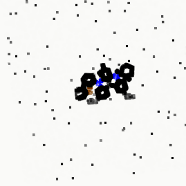 Cc1cc2c3c(c1)N1c4c(cc(C(C)(C)C)cc4C4(C)CCCCC14C)B3c1ccc(C(C)(C)C)cc1N2c1cccc2c1sc1ccccc12